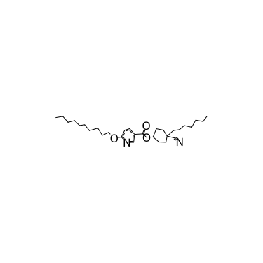 CCCCCCCCCCOc1ccc(C(=O)OC2CCC(C#N)(CCCCCCC)CC2)cn1